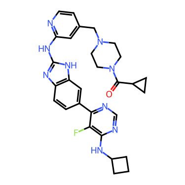 O=C(C1CC1)N1CCN(Cc2ccnc(Nc3nc4ccc(-c5ncnc(NC6CCC6)c5F)cc4[nH]3)c2)CC1